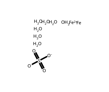 O.O.O.O.O.O.O.O=S(=O)([O-])[O-].[Fe+2].[Fe]